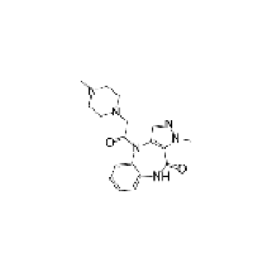 CN1CCN(CC(=O)N2c3ccccc3NC(=O)c3c2cnn3C)CC1